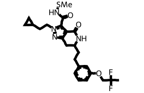 CSNC(=O)c1c2c(nn1CCC1CC1)CC(CCc1cccc(OCC(C)(F)F)c1)NC2=O